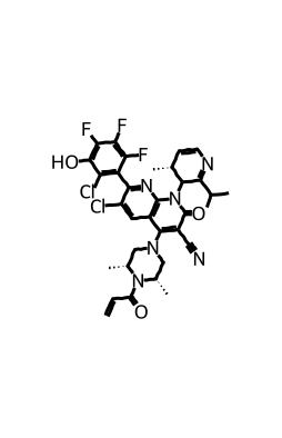 C=CC(=O)N1[C@H](C)CN(c2c(C#N)c(=O)n(C3C(C(C)C)=NC=C[C@H]3C)c3nc(-c4c(F)c(F)c(F)c(O)c4Cl)c(Cl)cc23)C[C@@H]1C